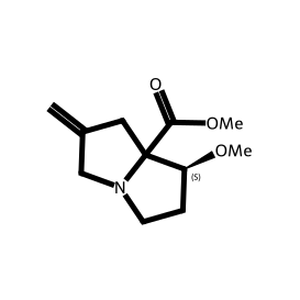 C=C1CN2CC[C@H](OC)C2(C(=O)OC)C1